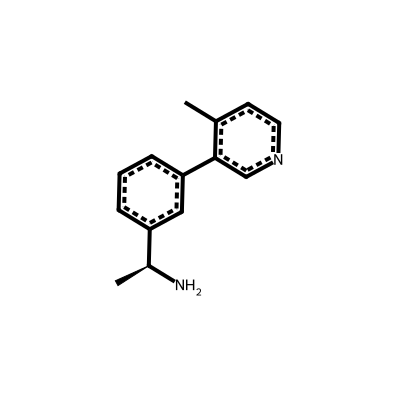 Cc1ccncc1-c1cccc([C@H](C)N)c1